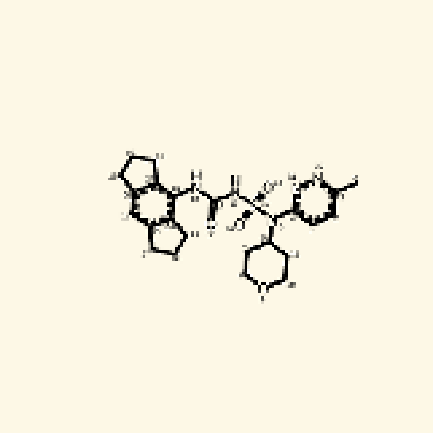 Cc1ccc(N(C2CCOCC2)S(=O)(=O)NC(=O)Nc2c3c(cc4c2CCC4)CCC3)nn1